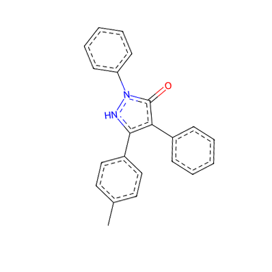 Cc1ccc(-c2[nH]n(-c3ccccc3)c(=O)c2-c2ccccc2)cc1